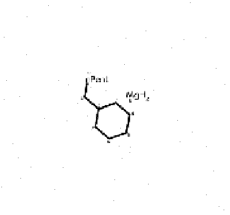 CCCCCC[C]1CCCCC1.[MgH2]